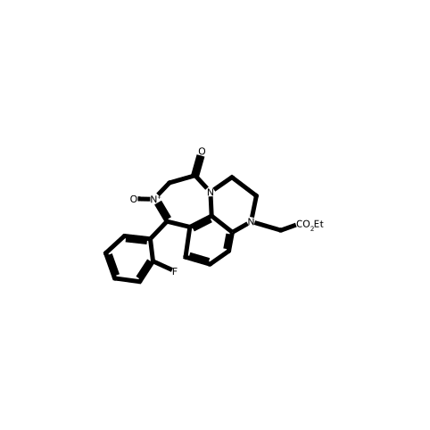 CCOC(=O)CN1CCN2C(=O)C[N+]([O-])=C(c3ccccc3F)c3cccc1c32